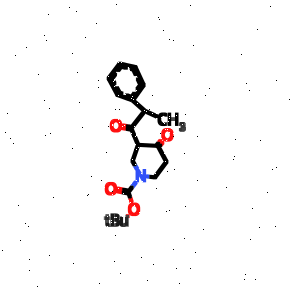 CC(C(=O)C1CN(C(=O)OC(C)(C)C)CCC1=O)c1ccccc1